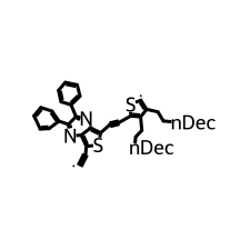 [C]#Cc1sc(C#Cc2s[c]c(CCCCCCCCCCCC)c2CCCCCCCCCCCC)c2nc(-c3ccccc3)c(-c3ccccc3)nc12